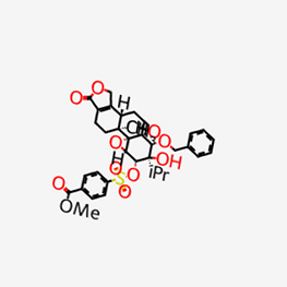 COC(=O)c1ccc(S(=O)(=O)O[C@@H]2[C@@H]3O[C@]34[C@]3(O[C@H]3C[C@H]3C5=C(CC[C@@]34C)C(=O)OC5)[C@H](OCc3ccccc3)[C@]2(O)C(C)C)cc1